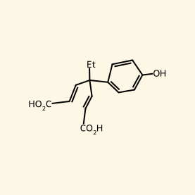 CCC(C=CC(=O)O)(C=CC(=O)O)c1ccc(O)cc1